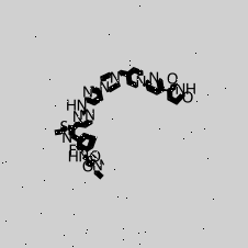 CCN(C)S(=O)(=O)Nc1cccc(-c2nc(C)sc2-c2ccnc(Nc3ccc(N4CCN(CC5CCN(c6ccc([C@@H]7CCC(=O)NC7=O)cn6)CC5)CC4)cn3)n2)c1F